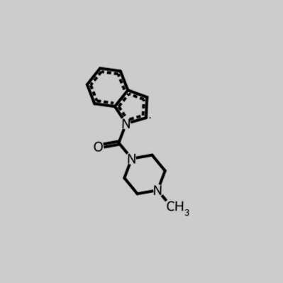 CN1CCN(C(=O)n2[c]cc3ccccc32)CC1